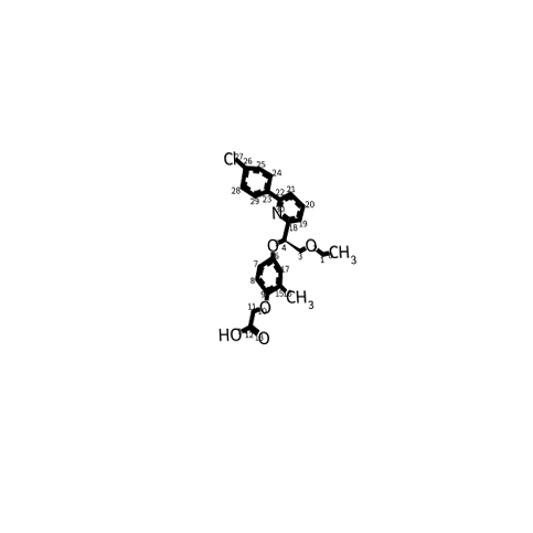 CCOC[C@@H](Oc1ccc(OCC(=O)O)c(C)c1)c1cccc(-c2ccc(Cl)cc2)n1